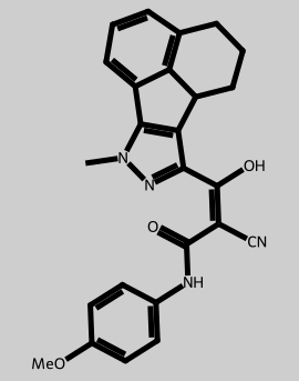 COc1ccc(NC(=O)C(C#N)=C(O)c2nn(C)c3c2C2CCCc4cccc-3c42)cc1